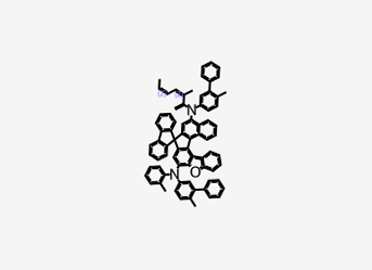 C=C(/C(C)=C\C=C/C)N(c1ccc(C)c(-c2ccccc2)c1)c1cc2c(c3ccccc13)-c1c(cc(N(c3ccc(C)c(-c4ccccc4)c3)c3ccccc3C)c3oc4ccccc4c13)C21c2ccccc2-c2ccccc21